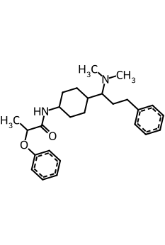 CC(Oc1ccccc1)C(=O)NC1CCC(C(CCc2ccccc2)N(C)C)CC1